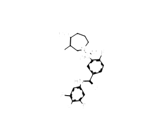 CC1CN(S(=O)(=O)c2cc(C(=O)Nc3cc(F)c(F)c(F)c3)ccc2F)CCC[C@@H]1O